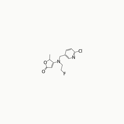 CC1OC(=O)C=C1N(CCF)Cc1ccc(Cl)nc1